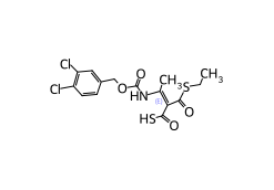 CCSC(=O)/C(C(=O)S)=C(\C)NC(=O)OCc1ccc(Cl)c(Cl)c1